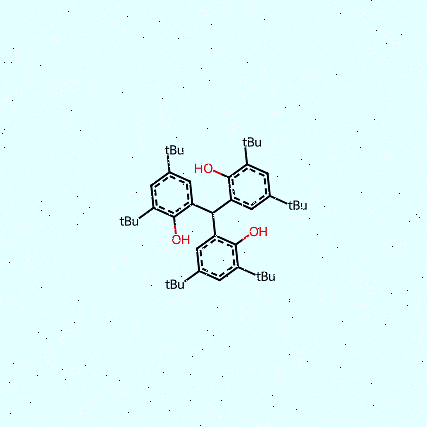 CC(C)(C)c1cc(C(c2cc(C(C)(C)C)cc(C(C)(C)C)c2O)c2cc(C(C)(C)C)cc(C(C)(C)C)c2O)c(O)c(C(C)(C)C)c1